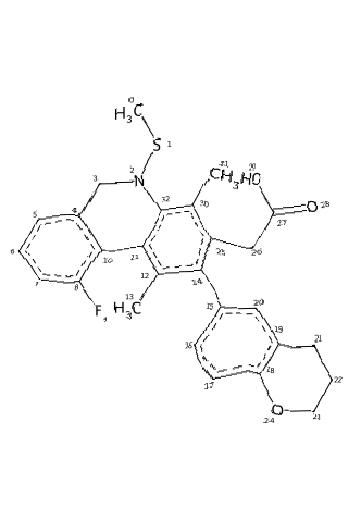 CSN1Cc2cccc(F)c2-c2c(C)c(-c3ccc4c(c3)CCCO4)c(CC(=O)O)c(C)c21